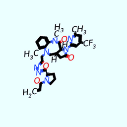 C=CC(=O)N1CCC[C@@H]1c1nnc(CN2C[C@H]3CC(=O)N(c4cc(C(F)(F)F)cc(C)n4)[C@@H]3C(=O)N(C)c3cccc(C)c32)o1